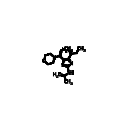 C=C(C)Nc1nc(C(=C)CC)c(/C(=C\C)N2CCOCC2)s1